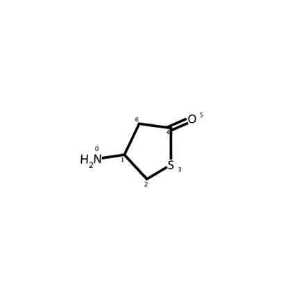 NC1CSC(=O)C1